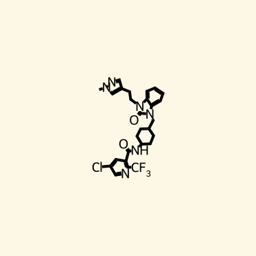 Cn1cc(CCn2c(=O)n(CC3CCC(NC(=O)c4cc(Cl)cnc4C(F)(F)F)CC3)c3ccccc32)cn1